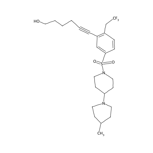 CC1CCN(C2CCN(S(=O)(=O)c3ccc(CC(F)(F)F)c(C#CCCCCO)c3)CC2)CC1